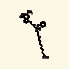 CCCCCCCCCCCCCCCCCCOCCOP(=O)(COCCn1cnc2c(=O)[nH]c(N)nc21)Oc1ccccc1